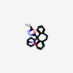 Cc1nnc(C2(N3CC4CCC3CC4)c3ccccc3CCc3ccccc32)o1